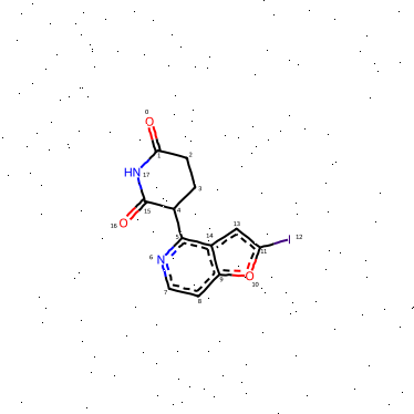 O=C1CCC(c2nccc3oc(I)cc23)C(=O)N1